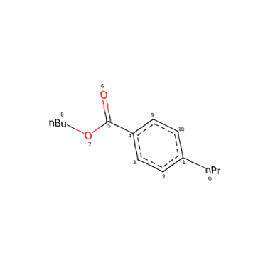 [CH2]CCc1ccc(C(=O)OCCCC)cc1